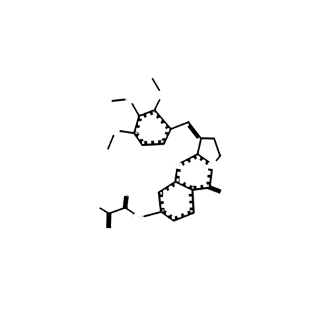 COc1ccc(/C=C2/CCn3c2nc2cc(NC(=O)C(=O)O)ccc2c3=O)c(OC)c1OC